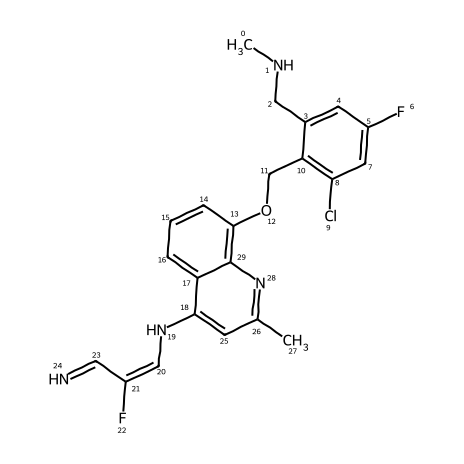 CNCc1cc(F)cc(Cl)c1COc1cccc2c(N/C=C(/F)C=N)cc(C)nc12